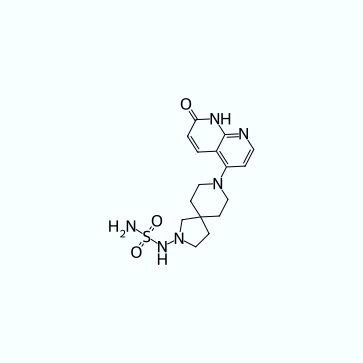 NS(=O)(=O)NN1CCC2(CCN(c3ccnc4[nH]c(=O)ccc34)CC2)C1